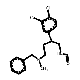 CN(CCC(CNC=O)c1ccc(Cl)c(Cl)c1)Cc1ccccc1